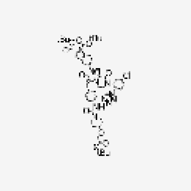 CC(C)(C)OC(=O)COC1CCN(C(=O)Nc2ccc(C[C@@H](C(=O)Nc3ccc4c(c3)cc(C(=O)OC(C)(C)C)n4C(=O)OC(C)(C)C)N3CCN(c4cc(Cl)ccc4-n4cnnn4)C(=O)C3=O)cc2)CC1